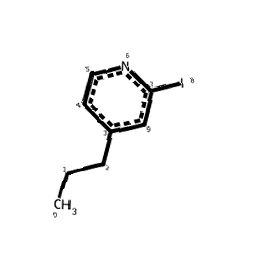 CCCc1ccnc(I)c1